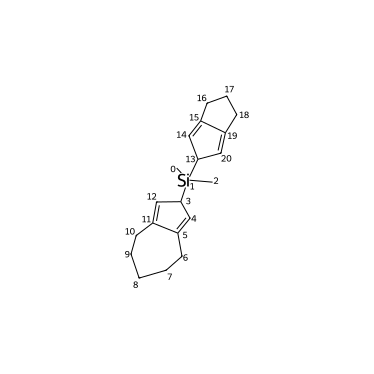 C[Si](C)(C1C=C2CCCCCC2=C1)C1C=C2CCCC2=C1